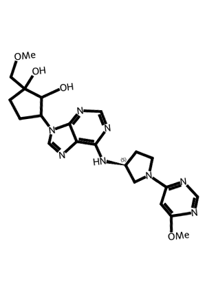 COCC1(O)CCC(n2cnc3c(N[C@H]4CCN(c5cc(OC)ncn5)C4)ncnc32)C1O